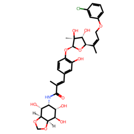 C/C(=C/COc1cccc(Cl)c1)[C@H]1O[C@@H](Oc2ccc(/C=C(\C)C(=O)N[C@@H]3[C@H](O)[C@@H](O)[C@H]4OCO[C@H]4[C@@H]3O)cc2O)[C@@](C)(O)[C@@H]1O